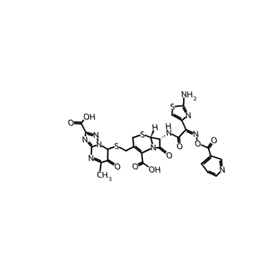 CC1=Nc2nc(C(=O)O)nn2C(SCC2=C(C(=O)O)N3C(=O)[C@@H](NC(=O)/C(=N\OC(=O)c4cccnc4)c4csc(N)n4)[C@H]3SC2)C1=O